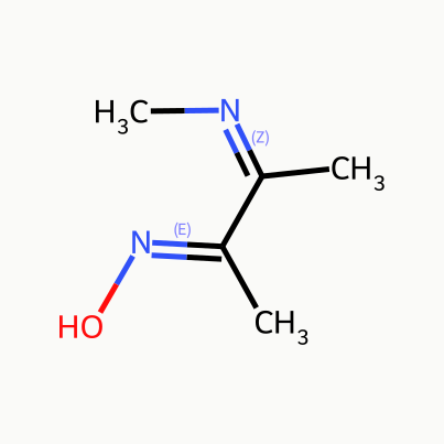 C/N=C(C)\C(C)=N\O